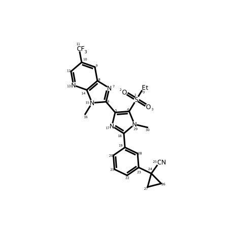 CCS(=O)(=O)c1c(-c2nc3cc(C(F)(F)F)cnc3n2C)nc(-c2cccc(C3(C#N)CC3)c2)n1C